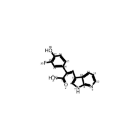 NC(=O)/C(=C\c1c[nH]c2ncccc12)c1ccc(O)c(F)c1